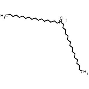 CCCCCCCCCCCCCCCCCN(C)CCCCCCCCCCCCCCCCC